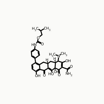 CC(C)COC(=O)Nc1ccc(-c2ccc(O)c3c2C[C@@H]2C[C@@H]4C(N(C)C)C(O)=C(C(N)=O)C(=O)[C@]4(O)C(O)=C2C3=O)cc1